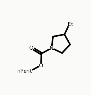 CCCCCOC(=O)N1CCC(CC)C1